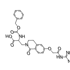 N=C(N)NC(=O)COc1ccc2c(c1)CCN(CC(NC(=O)OCc1ccccc1)C(=O)O)C2=O